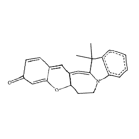 CC1(C)C2=C3C=C4C=CC(=O)C=C4OC3CCN2c2ccccc21